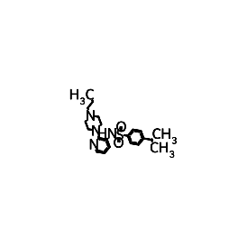 CCCN1CCN(c2ncccc2NS(=O)(=O)c2ccc(C(C)C)cc2)CC1